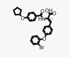 O=C(O)/C(=C/c1ccc(Oc2ccccc2Br)cc1)NC(=O)c1ccc(OC2CCCC2)cc1